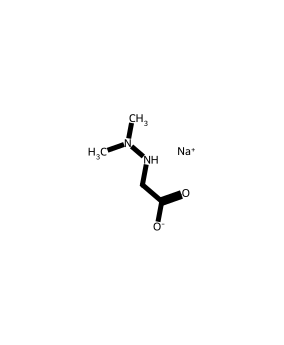 CN(C)NCC(=O)[O-].[Na+]